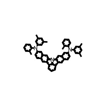 Cc1cc(C)cc(N(c2ccc3cc4c5cccc6c7cc8ccc(N(c9cc(C)cc(C)c9)c9ccccc9C)cc8cc7n(c4cc3c2)c56)c2ccccc2C)c1